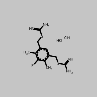 Cc1c(CSC(=N)N)cc(CSC(=N)N)c(C)c1Br.Cl.Cl